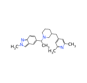 Cc1cc(CC2CCCN(C(C)c3ccc4nn(C)cc4c3)C2)cc(C)n1